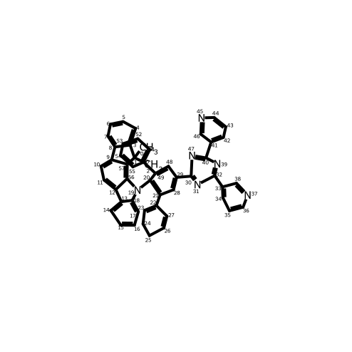 CC1(C)c2ccccc2-c2ccc3c4ccccc4n(-c4c(C5=CCCC=C5)cc(-c5nc(-c6cccnc6)nc(-c6cccnc6)n5)cc4-c4ccccc4)c3c21